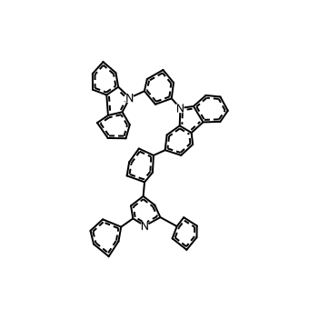 c1ccc(-c2cc(-c3cccc(-c4ccc5c6ccccc6n(-c6cccc(-n7c8ccccc8c8ccccc87)c6)c5c4)c3)cc(-c3ccccc3)n2)cc1